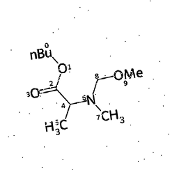 CCCCOC(=O)C(C)N(C)COC